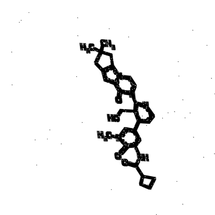 Cn1cc(-c2ccnc(-n3ccn4c5c(cc4c3=O)CC(C)(C)C5)c2CO)cc(NC(=O)C2CCC2)c1=O